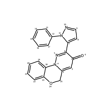 O=c1cc2n(nc1-c1ccnn1-c1ccccc1)-c1ccccc1OC2